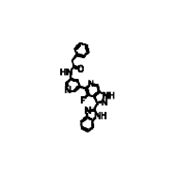 O=C(Cc1ccccc1)Nc1cncc(-c2ncc3[nH]nc(-c4nc5ccccc5[nH]4)c3c2F)c1